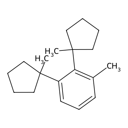 Cc1cccc(C2(C)CCCC2)c1C1(C)CCCC1